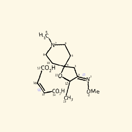 CO/N=C1/CC2(CCN(C)CC2)OC1C.O=C(O)/C=C\C(=O)O